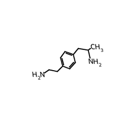 CC(N)Cc1ccc(CCN)cc1